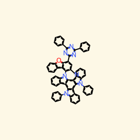 N#Cc1cc(-c2nc(-c3ccccc3)nc(-c3ccccc3)n2)c2oc3ccccc3c2c1-n1c2ccccc2c2c3c(c4ccccc4n3-c3ccccc3)c3c(c4ccccc4n3-c3ccccc3)c21